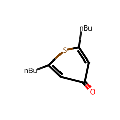 CCCCc1cc(=O)cc(CCCC)s1